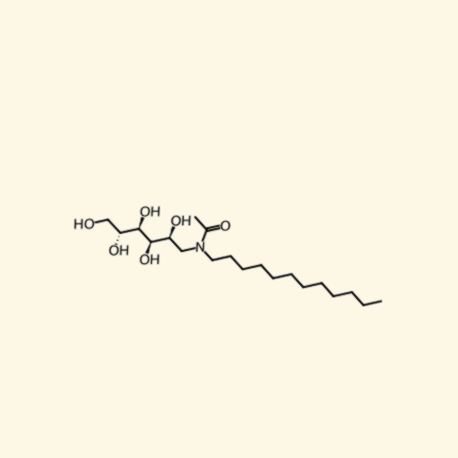 CCCCCCCCCCCCN(C[C@H](O)[C@@H](O)[C@H](O)[C@H](O)CO)C(C)=O